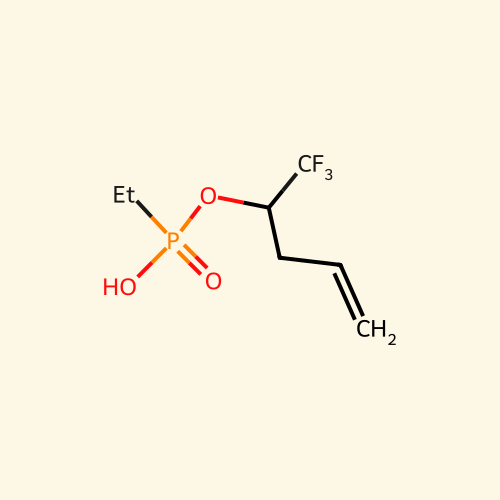 C=CCC(OP(=O)(O)CC)C(F)(F)F